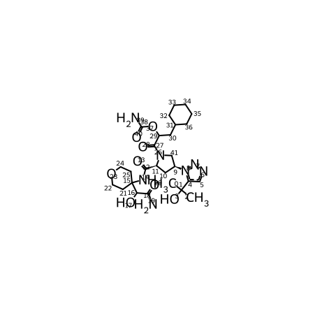 CC(C)(O)c1cnnn1[C@H]1C[C@@H](C(=O)NC2(C(O)C(N)=O)CCOCC2)N(C(=O)C(CC2CCCCC2)OC(N)=O)C1